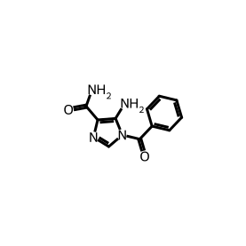 NC(=O)c1ncn(C(=O)c2ccccc2)c1N